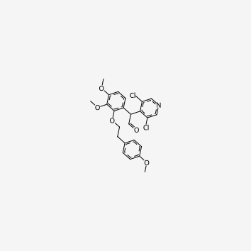 COc1ccc(CCOc2c(C(C=O)c3c(Cl)cncc3Cl)ccc(OC)c2OC)cc1